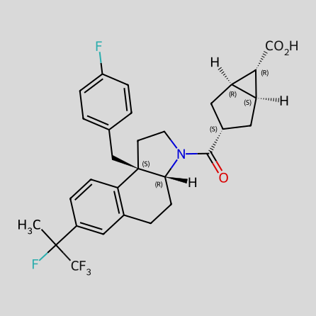 CC(F)(c1ccc2c(c1)CC[C@H]1N(C(=O)[C@@H]3C[C@@H]4[C@H](C3)[C@H]4C(=O)O)CC[C@@]21Cc1ccc(F)cc1)C(F)(F)F